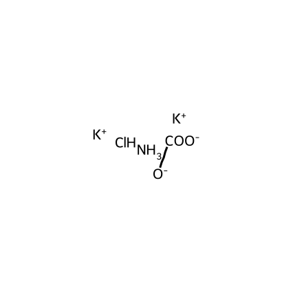 Cl.N.O=C([O-])[O-].[K+].[K+]